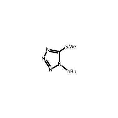 [CH2]Sc1nnnn1CCCC